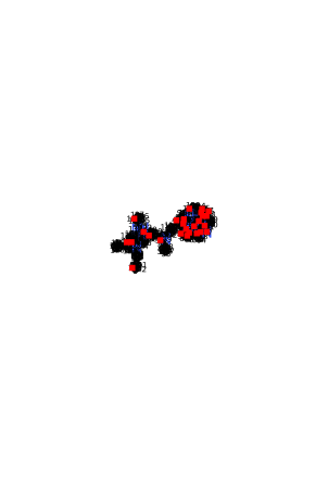 c1ccc(-c2ccc3c(c2)c2cc(-c4ccccc4)ccc2n3-c2ccc(-c3cc(-c4cc(-c5ccccc5)nc(-c5ccc(-c6cccc7c6c6ccccc6n7-c6c(-n7c8ccccc8c8ccccc87)c(-c7ccncc7)c(-n7c8ccccc8c8ccccc87)c7c6c6cccc(n6)c6ccc8c9ccccc9n7c8c6)cc5)c4)ccc3-c3nc(-c4ccccc4)nc(-c4ccccc4)n3)cc2)cc1